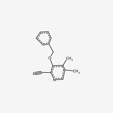 Cc1cnc(C#N)c(OCc2ccccc2)c1C